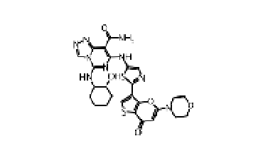 NC(=O)c1c(Nc2cnc(-c3csc4c(=O)cc(N5CCOCC5)oc34)s2)nc(N[C@@H]2CCCC[C@@H]2O)n2cnnc12